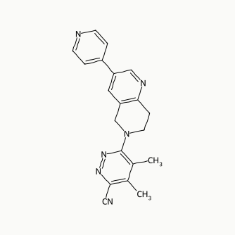 Cc1c(C#N)nnc(N2CCc3ncc(-c4ccncc4)cc3C2)c1C